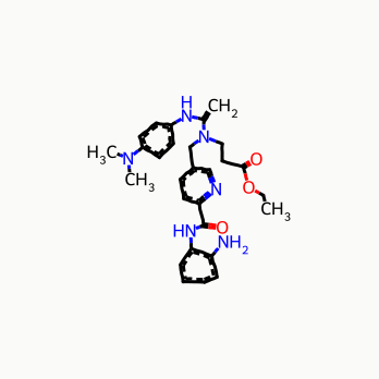 C=C(Nc1ccc(N(C)C)cc1)N(CCC(=O)OCC)Cc1ccc(C(=O)Nc2ccccc2N)nc1